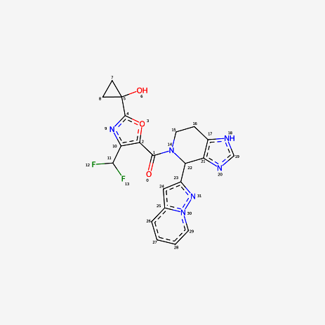 O=C(c1oc(C2(O)CC2)nc1C(F)F)N1CCc2[nH]cnc2C1c1cc2ccccn2n1